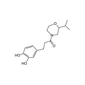 CC(C)C1CN(C(=O)CCc2ccc(O)c(O)c2)CCO1